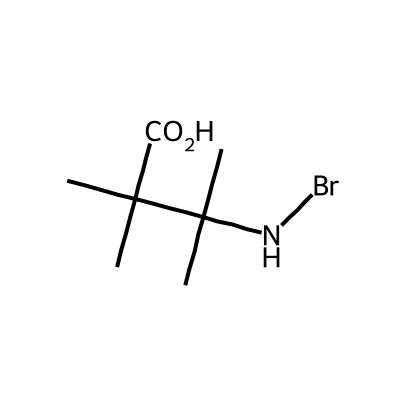 CC(C)(NBr)C(C)(C)C(=O)O